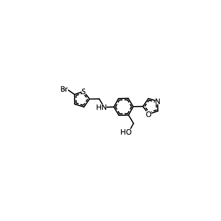 OCc1cc(NCc2ccc(Br)s2)ccc1-c1cnco1